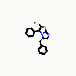 CC1=C(c2ccccc2)N2C(=NC[C@H]2Cc2ccccc2)S1